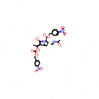 CC(=O)N/C=C\SC1=C(C(=O)OCc2ccc([N+](=O)[O-])cc2)N2C(=O)C(C(C)OC(=O)OCc3ccc([N+](=O)[O-])cc3)C2C1